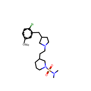 COc1ccc(Br)c(CC2CCN(CCC3CCCN(S(=O)(=O)N(C)C)C3)C2)c1